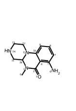 CN1C(=O)c2c(N)cccc2N2CCNCC12